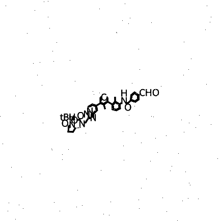 Cc1c(NC(=O)c2ccc(C=O)cc2)cccc1-c1cccc(-c2ccn3nc(CN(C[C@@H]4CCC(=O)N4)C(=O)OC(C)(C)C)nc3c2)c1C